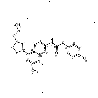 CCOC1CCN(c2cc(C)nc3cc(NC(=O)Cc4ccc(Cl)cc4)ccc23)C1